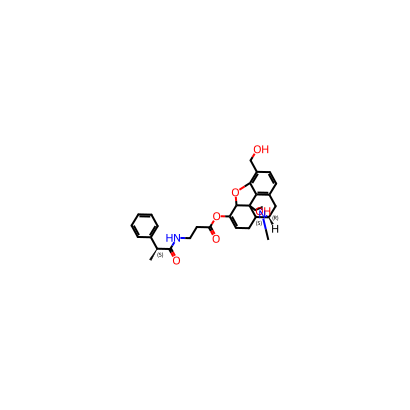 C[C@H](C(=O)NCCC(=O)OC1=CC[C@@]2(O)[C@H]3Cc4ccc(CO)c5c4C2(CCN3C)C1O5)c1ccccc1